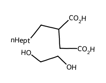 CCCCCCCCC(CC(=O)O)C(=O)O.OCCO